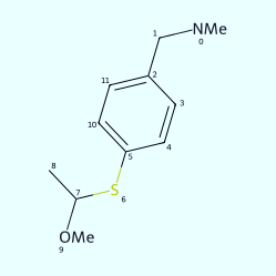 CNCc1ccc(SC(C)OC)cc1